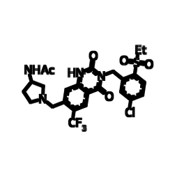 CCS(=O)(=O)c1ccc(Cl)cc1Cn1c(=O)[nH]c2cc(CN3CCC(NC(C)=O)C3)c(C(F)(F)F)cc2c1=O